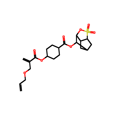 C=CCOCC(=C)C(=O)OC1CCC(C(=O)OC2C3CC4C2OS(=O)(=O)C4C3)CC1